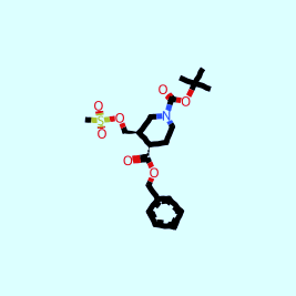 CC(C)(C)OC(=O)N1CC[C@H](C(=O)OCc2ccccc2)[C@@H](COS(C)(=O)=O)C1